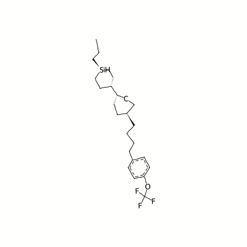 CCC[Si@H]1CC[C@H]([C@H]2CC[C@H](CCCCc3ccc(OC(F)(F)F)cc3)CC2)CC1